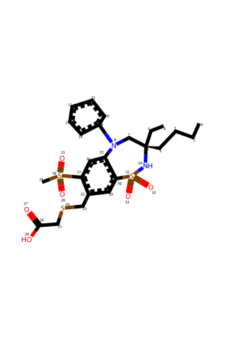 CCCC[C@]1(CC)CN(c2ccccc2)c2cc(S(C)(=O)=O)c(CSCC(=O)O)cc2S(=O)(=O)N1